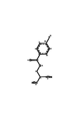 CCCCCCCCC(CCCCCC)COC(=O)c1ccc(F)cc1